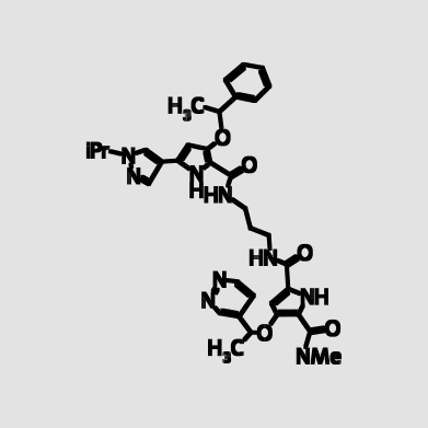 CNC(=O)c1[nH]c(C(=O)NCCCNC(=O)c2[nH]c(-c3cnn(C(C)C)c3)cc2OC(C)c2ccccc2)cc1OC(C)c1ccnnc1